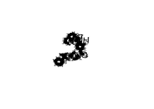 Cc1cc(C(=O)N2CCN(CC3(c4ccccc4)CC3)CC2)ccc1NS(=O)(=O)C1=CC=CC2C=CC=NC12